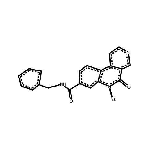 CCn1c(=O)c2cnccc2c2ccc(C(=O)NCc3ccccc3)cc21